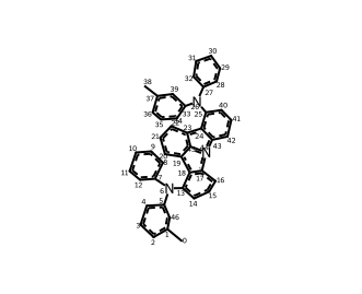 Cc1cccc(N(c2ccccc2)c2cccc3c2c2cccc4c5c(N(c6ccccc6)c6cccc(C)c6)cccc5n3c24)c1